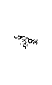 CCN1CC2C(C1)C2CN(Cc1cccc(OC(F)(F)F)c1)C(=O)Oc1nc(C)c[nH]1